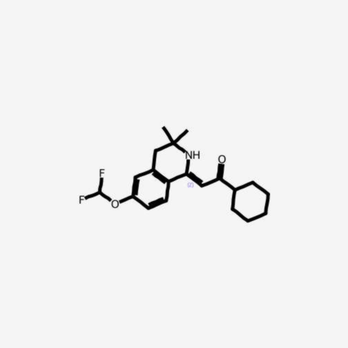 CC1(C)Cc2cc(OC(F)F)ccc2/C(=C/C(=O)C2CCCCC2)N1